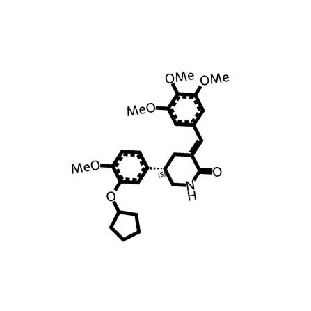 COc1ccc([C@H]2CNC(=O)C(=Cc3cc(OC)c(OC)c(OC)c3)C2)cc1OC1CCCC1